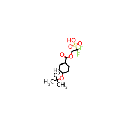 CC(C)(C)OC1CCC(C(=O)OCC(F)(F)S(=O)(=O)O)CC1